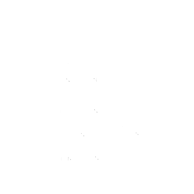 CC(Nc1nc(N)ncc1C(=O)N1CCOCC1)c1nc2cccc(Cl)c2c(=O)n1-c1ccccc1